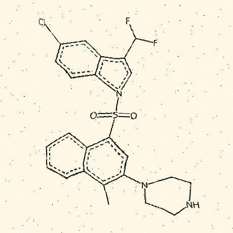 Cc1c(N2CCNCC2)cc(S(=O)(=O)n2cc(C(F)F)c3cc(Cl)ccc32)c2ccccc12